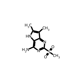 Cc1[nH]c2c(N)nc(S(C)(=O)=O)nc2c1C